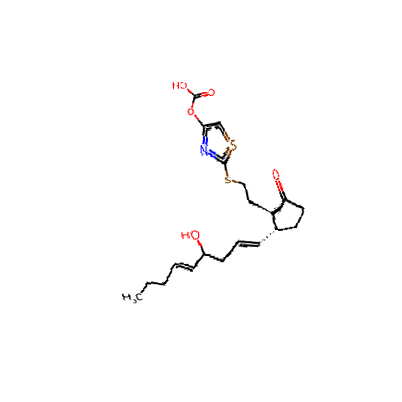 CCC/C=C/C(O)C/C=C/[C@H]1CCC(=O)[C@@H]1CCSc1nc(OC(=O)O)cs1